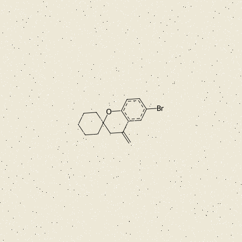 C=C1CC2(CCCCC2)Oc2ccc(Br)cc21